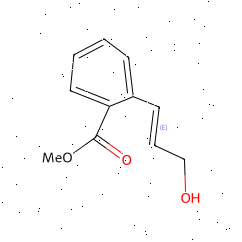 COC(=O)c1ccccc1/C=C/CO